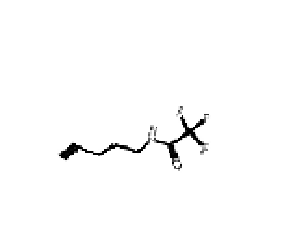 C=C[CH]CCNC(=O)C(F)(F)F